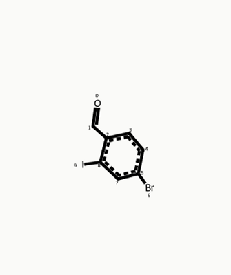 O=Cc1ccc(Br)cc1I